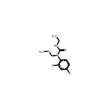 CCNC(=O)N(CSC)c1ccc(F)cc1F